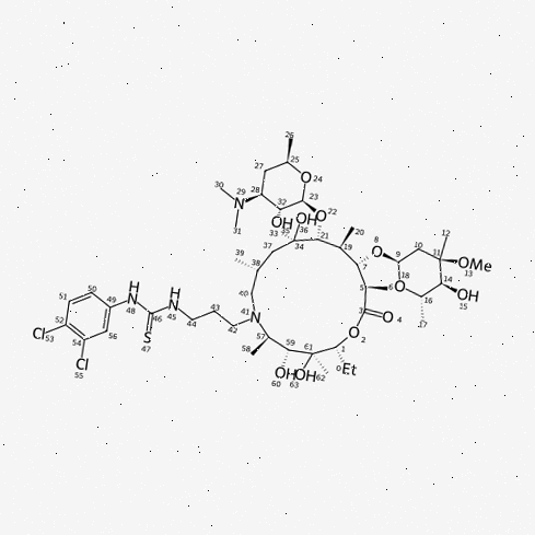 CC[C@H]1OC(=O)[C@H](C)[C@@H](O[C@H]2C[C@@](C)(OC)[C@@H](O)[C@H](C)O2)[C@H](C)[C@@H](O[C@@H]2O[C@H](C)C[C@H](N(C)C)[C@H]2O)[C@](C)(O)C[C@@H](C)CN(CCCNC(=S)Nc2ccc(Cl)c(Cl)c2)[C@H](C)[C@@H](O)[C@]1(C)O